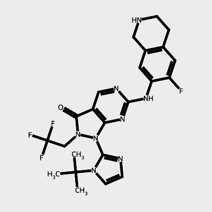 CC(C)(C)n1ccnc1-n1c2nc(Nc3cc4c(cc3F)CCNC4)ncc2c(=O)n1CC(F)(F)F